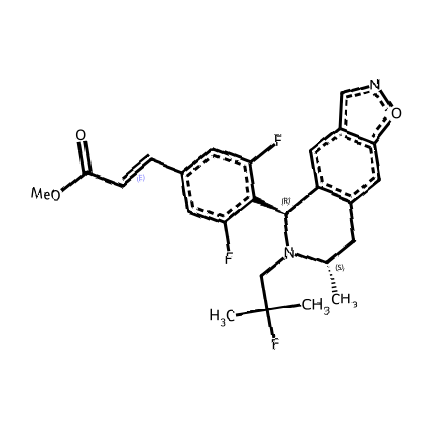 COC(=O)/C=C/c1cc(F)c([C@H]2c3cc4cnoc4cc3C[C@H](C)N2CC(C)(C)F)c(F)c1